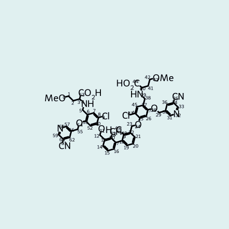 COCCC(NCc1cc(Cl)c(OCc2cccc(-c3cccc(COc4cc(OCc5cncc(C#N)c5)c(CNC(CCOC)C(=O)O)cc4Cl)c3C)c2C)cc1OCc1cncc(C#N)c1)C(=O)O